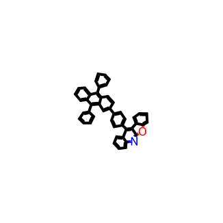 c1ccc(-c2c3ccccc3c(-c3ccccc3)c3cc(-c4ccc(-c5c6ccccc6nc6oc7ccccc7c56)cc4)ccc23)cc1